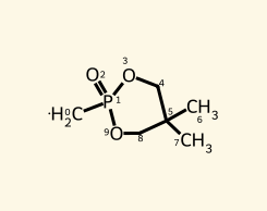 [CH2]P1(=O)OCC(C)(C)CO1